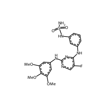 COc1cc(Nc2ncc(F)c(Nc3cccc(NS(N)(=O)=O)c3)n2)cc(OC)c1OC